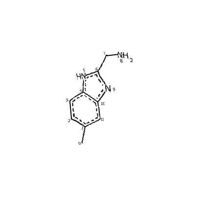 Cc1ccc2[nH]c(CN)nc2c1